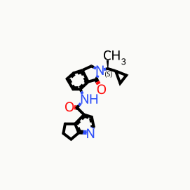 C[C@@H](C1CC1)N1Cc2cccc(NC(=O)c3ccnc4c3CCC4)c2C1=O